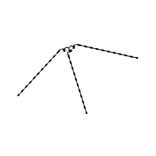 C#CC#CC#CC#CC#CC#CC#CC#CC#CC#CC#COC(=O)CC(CC(=O)OC#CC#CC#CC#CC#CC#CC#CC#CC#CC#CC#C)C(=O)OC#CC#CC#CC#CC#CC#CC#CC#CC#CC#CC#C